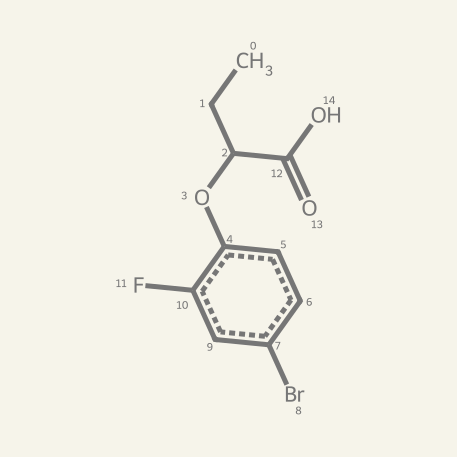 CCC(Oc1ccc(Br)cc1F)C(=O)O